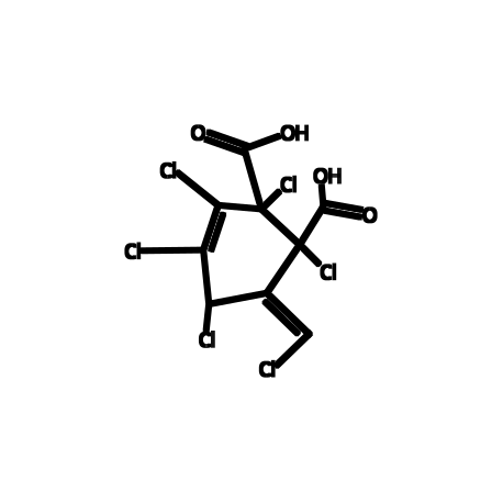 O=C(O)C1(Cl)C(=CCl)C(Cl)C(Cl)=C(Cl)C1(Cl)C(=O)O